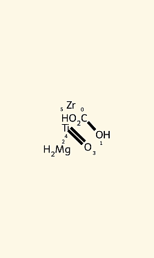 O=C(O)O.[MgH2].[O]=[Ti].[Zr]